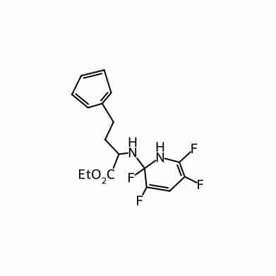 CCOC(=O)C(CCc1ccccc1)NC1(F)NC(F)=C(F)C=C1F